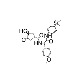 COc1ccc(C(NC(=O)C2CC(=O)N(O)C2)C(=O)Nc2ccc([Si](C)(C)C)cc2)cc1